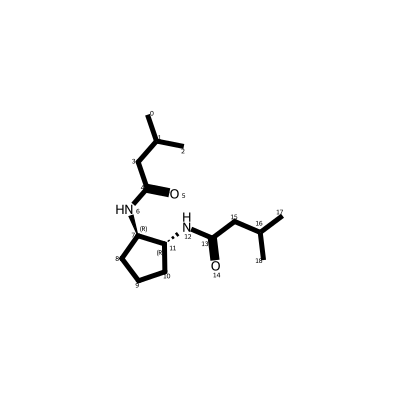 CC(C)CC(=O)N[C@@H]1CCC[C@H]1NC(=O)CC(C)C